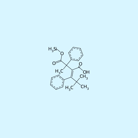 CC(C)(C)C(=C(C(=O)O)C(C)(C(=O)O[SiH3])c1ccccc1)c1ccccc1